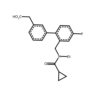 CCN(Cc1cc(F)ccc1-c1cccc(CC(=O)O)c1)C(=O)C1CC1